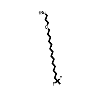 CC(C)(C)CCCOCCCCCCCCCCCCCCC(C)(F)F